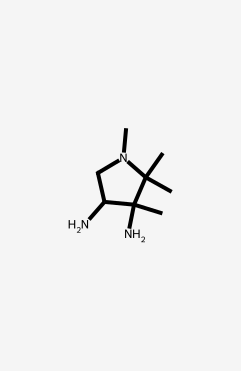 CN1CC(N)C(C)(N)C1(C)C